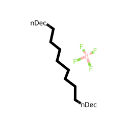 CCCCCC[CH]CCCCCCCCCCCCCCCCCCCCC.F[B-](F)(F)F